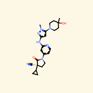 Cn1nc(Nc2cc(N3CC[C@@](C#N)(C4CC4)C3=O)ccn2)cc1N1CCC(C)(O)CC1